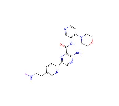 Nc1ncc(-c2ccc(CCNI)cn2)nc1C(=O)Nc1cnccc1N1CCOCC1